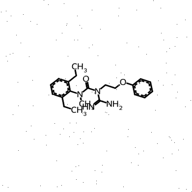 CCc1cccc(CC)c1N(C)C(=O)N(CCOc1ccccc1)C(=N)N